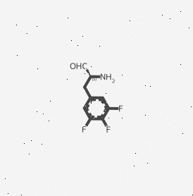 N[C@H](C=O)Cc1cc(F)c(F)c(F)c1